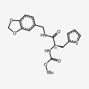 CC(C)(C)OC(=O)N[C@H](Cc1cccs1)C(=O)NCc1ccc2c(c1)OCO2